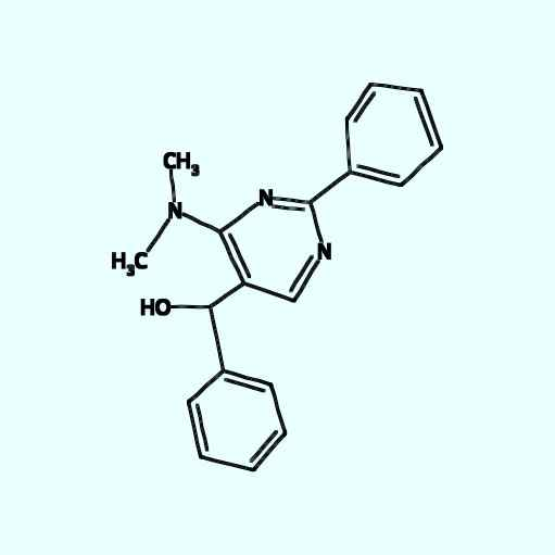 CN(C)c1nc(-c2ccccc2)ncc1C(O)c1ccccc1